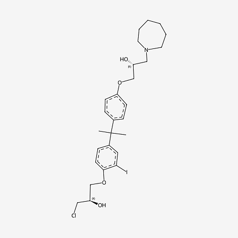 CC(C)(c1ccc(OC[C@H](O)CN2CCCCCC2)cc1)c1ccc(OC[C@@H](O)CCl)c(I)c1